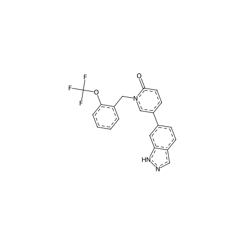 O=c1ccc(-c2ccc3cn[nH]c3c2)cn1Cc1ccccc1OC(F)(F)F